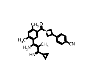 C/C(C(=N)C1CC1)=C(/N)c1cc(C(=O)N2CC(c3ccc(C#N)cc3)C2)c(C)cc1C